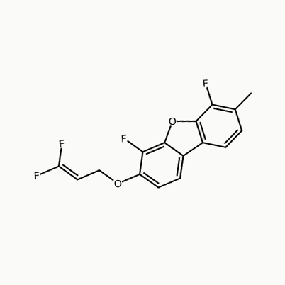 Cc1ccc2c(oc3c(F)c(OCC=C(F)F)ccc32)c1F